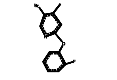 Cc1cc(Oc2ccccc2F)ncc1Br